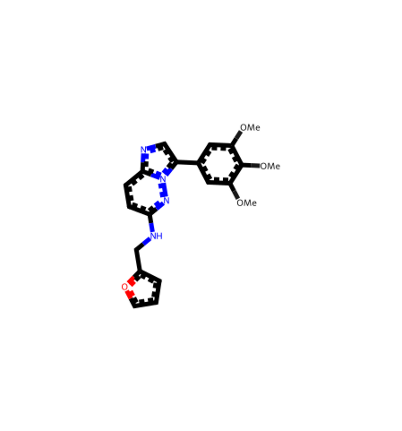 COc1cc(-c2cnc3ccc(NCc4ccco4)nn23)cc(OC)c1OC